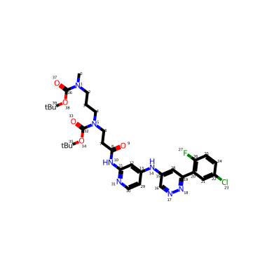 CN(CCCN(CCC(=O)Nc1cc(Nc2cnnc(-c3cc(Cl)ccc3F)c2)ccn1)C(=O)OC(C)(C)C)C(=O)OC(C)(C)C